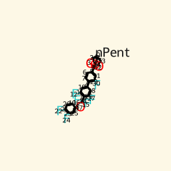 CCCCCC12COC(c3ccc(-c4cc(F)c(C(F)(F)Oc5ccc(F)c(F)c5)c(F)c4)c(F)c3)(OC1)OC2